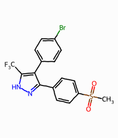 CS(=O)(=O)c1ccc(-c2n[nH]c(C(F)(F)F)c2-c2ccc(Br)cc2)cc1